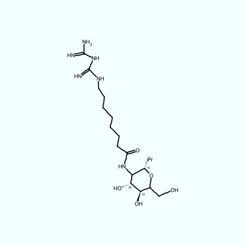 CC(C)[C@@H]1OC(CO)[C@@H](O)[C@H](O)C1NC(=O)CCCCCCCNC(=N)NC(=N)N